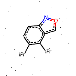 CC(C)c1ccc2nocc2c1C(C)C